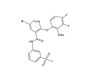 COc1c(Oc2ncc(Br)cc2C(=O)Nc2cccc(S(C)(=O)=O)c2)ccc(F)c1F